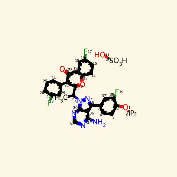 CC(C)Oc1ccc(-c2nn(C(C)c3oc4ccc(F)cc4c(=O)c3-c3cccc(F)c3)c3ncnc(N)c23)cc1F.O=S(=O)(O)O